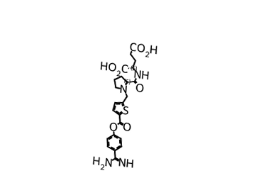 N=C(N)c1ccc(OC(=O)c2ccc(CN3CCC[C@H]3C(=O)N[C@@H](CCC(=O)O)C(=O)O)s2)cc1